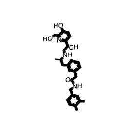 Cc1ccc(CNC(=O)Cc2cccc(C[C@@H](C)NCC(O)c3ccc(O)c(CO)n3)c2)cc1C